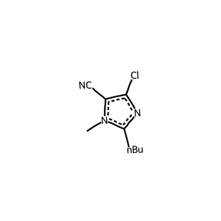 CCCCc1nc(Cl)c(C#N)n1C